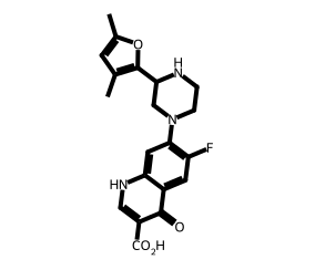 Cc1cc(C)c(C2CN(c3cc4[nH]cc(C(=O)O)c(=O)c4cc3F)CCN2)o1